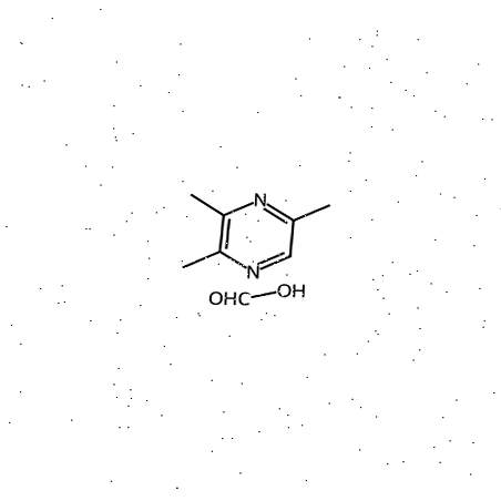 Cc1cnc(C)c(C)n1.O=CO